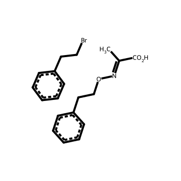 BrCCc1ccccc1.CC(=NOCCc1ccccc1)C(=O)O